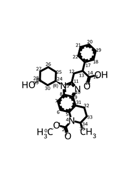 COC(=O)N1c2ccc3c(nc(CC(C(=O)O)c4ccccc4)n3[C@@H]3CCC[C@@H](O)C3)c2CCC1C